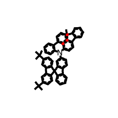 CC(C)(C)c1ccc2c(c1)-c1cc(C(C)(C)C)ccc1C21c2ccccc2-c2ccc(N(c3ccc4c(c3)C(C)(C)c3ccccc3-4)c3ccccc3-c3ccccc3)cc21